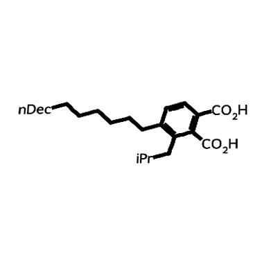 CCCCCCCCCCCCCCCCc1ccc(C(=O)O)c(C(=O)O)c1CC(C)C